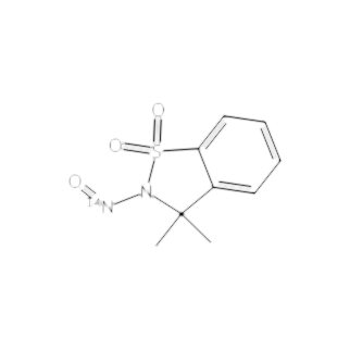 CC1(C)c2ccccc2S(=O)(=O)N1[14N]=O